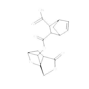 O=C1OC2C(OC(=O)C3C4C=CC(C4)C3C(=O)O)C3CC1C2O3